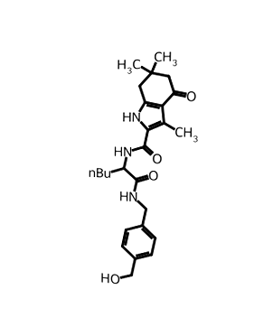 CCCCC(NC(=O)c1[nH]c2c(c1C)C(=O)CC(C)(C)C2)C(=O)NCc1ccc(CO)cc1